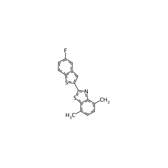 Cc1ccc(C)c2sc(-c3cc4cc(F)ccc4s3)nc12